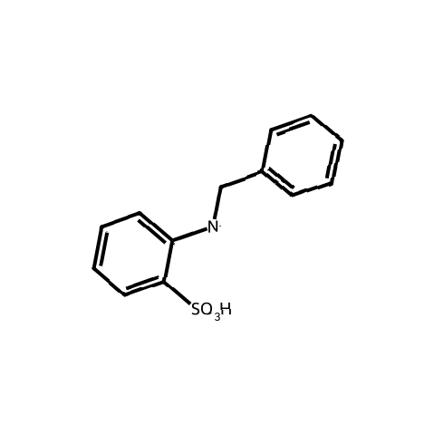 O=S(=O)(O)c1ccccc1[N]Cc1ccccc1